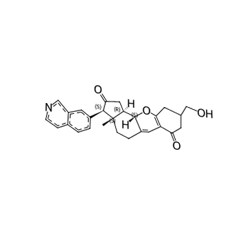 C[C@]12CCC3=CC4=C(CC(CO)CC4=O)O[C@H]3[C@@H]1CC(=O)[C@@H]2c1ccc2ccncc2c1